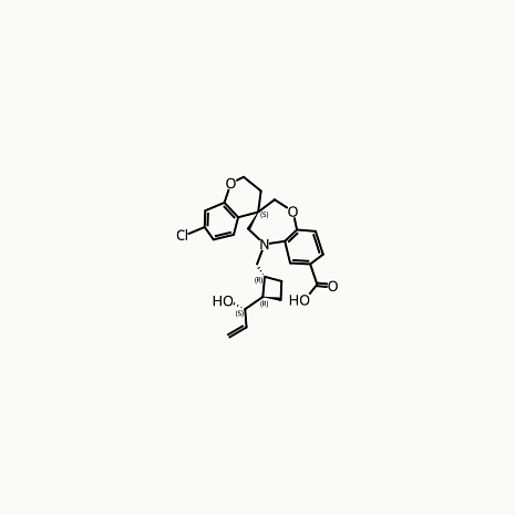 C=C[C@H](O)[C@@H]1CC[C@H]1CN1C[C@@]2(CCOc3cc(Cl)ccc32)COc2ccc(C(=O)O)cc21